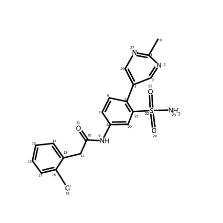 Cc1ncc(-c2ccc(NC(=O)Cc3ccccc3Cl)cc2S(N)(=O)=O)cn1